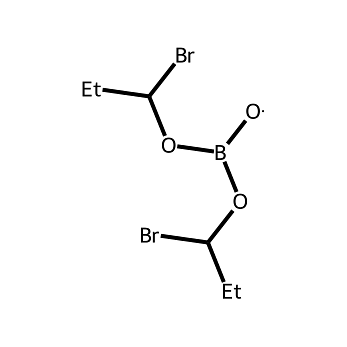 CCC(Br)OB([O])OC(Br)CC